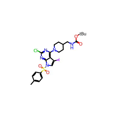 Cc1ccc(S(=O)(=O)n2cc(I)c3c(N4CCC(CNC(=O)OC(C)(C)C)CC4)nc(Cl)nc32)cc1